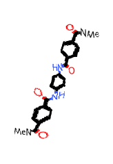 CNC(=O)c1ccc(C(=O)Nc2ccc(NC(=O)c3ccc(C(=O)NC)cc3)cc2)cc1